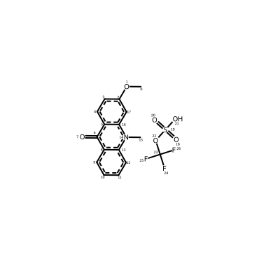 COc1ccc2c(=O)c3ccccc3n(C)c2c1.O=S(=O)(O)OC(F)(F)F